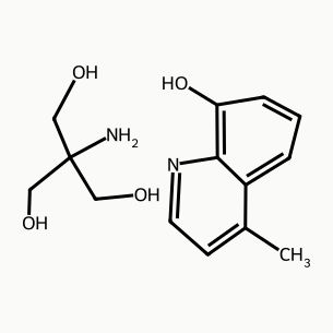 Cc1ccnc2c(O)cccc12.NC(CO)(CO)CO